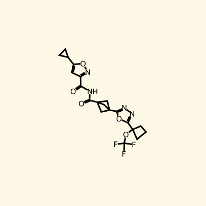 O=C(NC(=O)C12CC(c3nnc(C4(OC(F)(F)F)CCC4)o3)(C1)C2)c1cc(C2CC2)on1